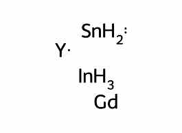 [Gd].[InH3].[SnH2].[Y]